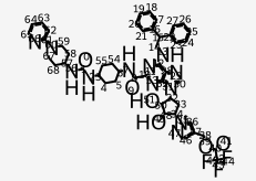 O=C(NC1CCC(NC(=O)c2nc(NCC(c3ccccc3)c3ccccc3)c3ncn([C@@H]4C[C@H](n5cc(COC(=O)C(F)(F)F)cn5)[C@@H](O)[C@H]4O)c3n2)CC1)NC1CCN(c2ccccn2)CC1